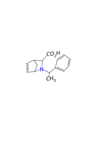 CC(c1ccccc1)N1C2C=CC(C2)C1C(=O)O